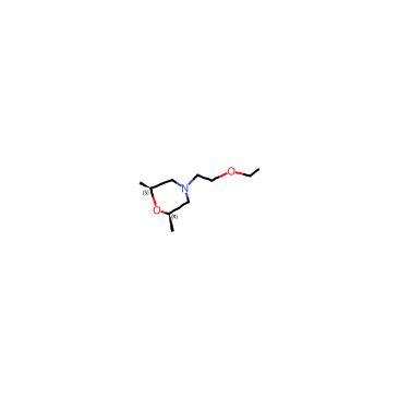 CCOCCN1C[C@@H](C)O[C@@H](C)C1